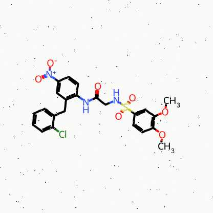 COc1ccc(S(=O)(=O)NCC(=O)Nc2ccc([N+](=O)[O-])cc2Cc2ccccc2Cl)cc1OC